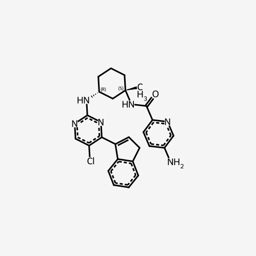 C[C@]1(NC(=O)c2ccc(N)cn2)CCC[C@@H](Nc2ncc(Cl)c(C3=CCc4ccccc43)n2)C1